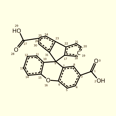 O=C(O)c1ccc2c(c1)C1(c3ccccc3O2)c2ccccc2-c2ccc(C(=O)O)cc21